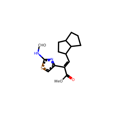 COC(=O)C(=CC1CCC2CCCC12)c1csc(NC=O)n1